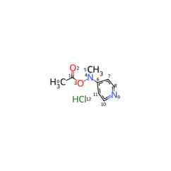 CC(=O)ON(C)c1ccncc1.Cl